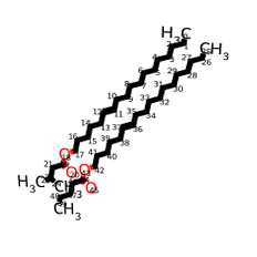 CCCCCCCCCCCC=CCCCCCOC(=O)CC(C)C.CCCCCCCCCCCC=CCCCCCOC(=O)CCCC